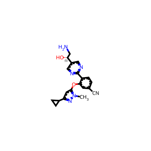 Cn1nc(C2CC2)cc1Oc1cc(C#N)ccc1-c1ncc([C@H](O)CN)cn1